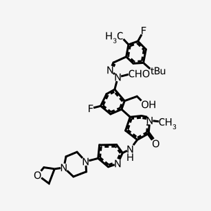 Cc1c(F)cc(C(C)(C)C)cc1/C=N\N(C=O)c1cc(F)cc(-c2cc(Nc3ccc(N4CCN(C5COC5)CC4)cn3)c(=O)n(C)c2)c1CO